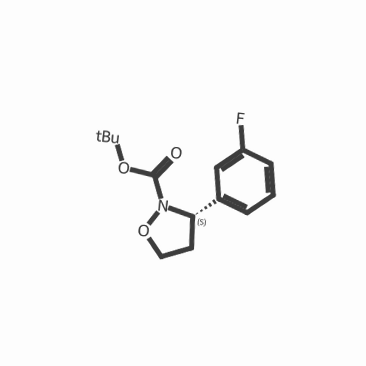 CC(C)(C)OC(=O)N1OCC[C@H]1c1cccc(F)c1